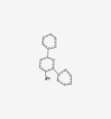 CC(C)c1ccc(-c2ccccc2)[c]c1-c1ccccc1